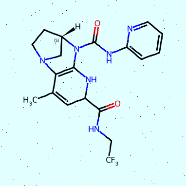 CC1=CC(C(=O)NCC(F)(F)F)NC2=C1N1CC[C@@H](C1)N2C(=O)Nc1ccccn1